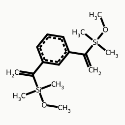 C=C(c1cccc(C(=C)[Si](C)(C)OC)c1)[Si](C)(C)OC